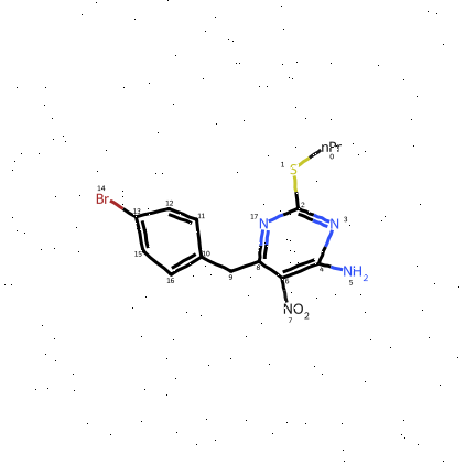 CCCSc1nc(N)c([N+](=O)[O-])c(Cc2ccc(Br)cc2)n1